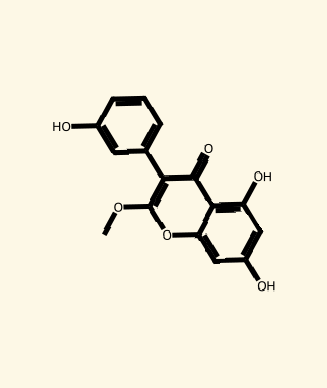 COc1oc2cc(O)cc(O)c2c(=O)c1-c1cccc(O)c1